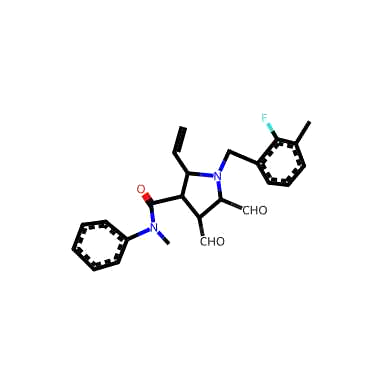 C=CC1C(C(=O)N(C)c2ccccc2)C(C=O)C(C=O)N1Cc1cccc(C)c1F